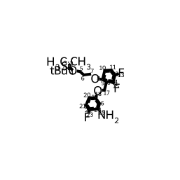 CC(C)(C)[Si](C)(C)OCCCOc1ccc(F)c(F)c1COc1ccc(F)c(N)c1